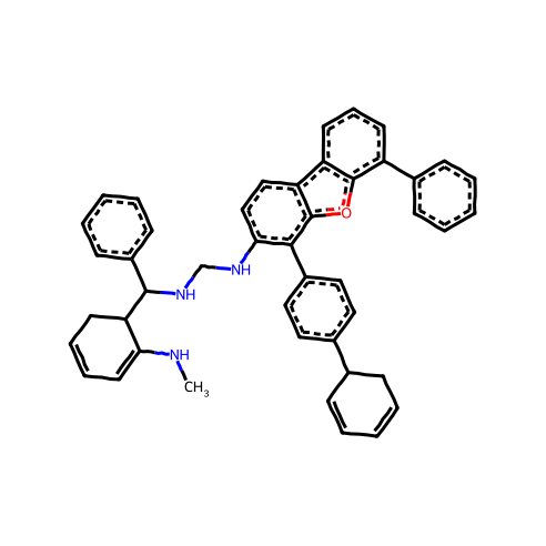 CNC1=CC=CCC1C(NCNc1ccc2c(oc3c(-c4ccccc4)cccc32)c1-c1ccc(C2C=CC=CC2)cc1)c1ccccc1